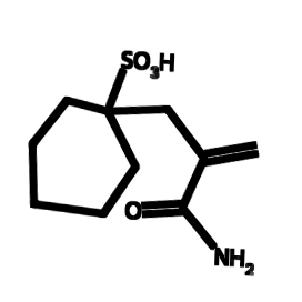 C=C(CC1(S(=O)(=O)O)CCCCC1)C(N)=O